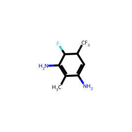 CC1=C(N)C(F)C(C(F)(F)F)C=C1N